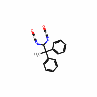 CC(c1ccccc1)(c1ccccc1)C(N=C=O)N=C=O